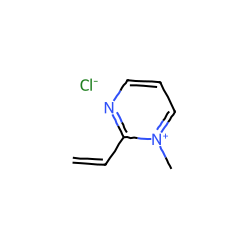 C=Cc1nccc[n+]1C.[Cl-]